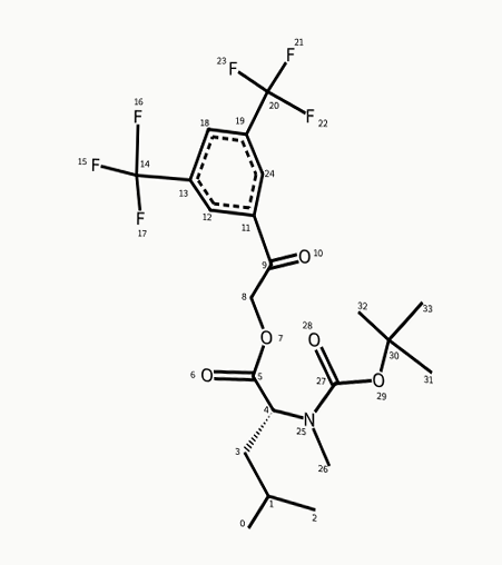 CC(C)C[C@H](C(=O)OCC(=O)c1cc(C(F)(F)F)cc(C(F)(F)F)c1)N(C)C(=O)OC(C)(C)C